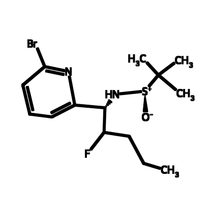 CCCC(F)[C@@H](N[S@+]([O-])C(C)(C)C)c1cccc(Br)n1